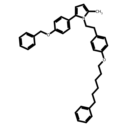 Cc1ccc(-c2ccc(OCc3ccccc3)cc2)n1CCc1ccc(OCCCCCCc2ccccc2)cc1